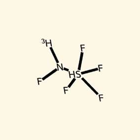 [3H]N(F)[SH](F)(F)(F)F